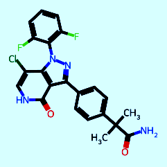 CC(C)(C(N)=O)c1ccc(-c2nn(-c3c(F)cccc3F)c3c(Cl)c[nH]c(=O)c23)cc1